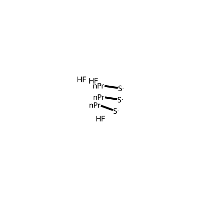 CCC[S].CCC[S].CCC[S].F.F.F